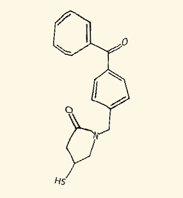 O=C(c1ccccc1)c1ccc(CN2CC(S)CC2=O)cc1